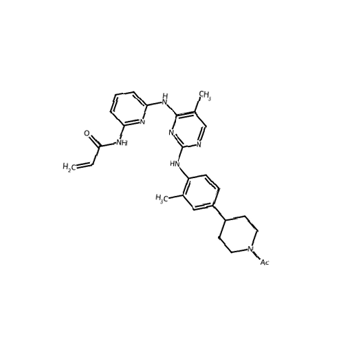 C=CC(=O)Nc1cccc(Nc2nc(Nc3ccc(C4CCN(C(C)=O)CC4)cc3C)ncc2C)n1